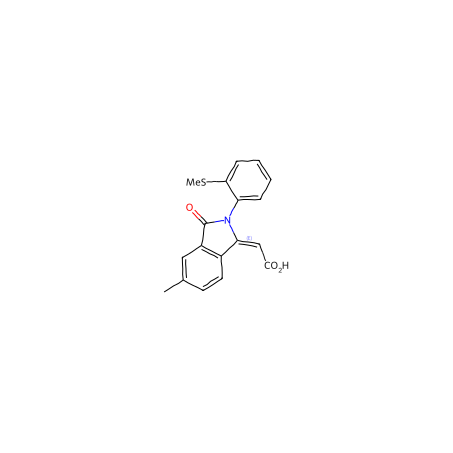 CSc1ccccc1N1C(=O)c2cc(C)ccc2/C1=C\C(=O)O